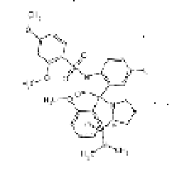 COc1ccc(S(=O)(=O)N2C(=O)C(c3ccccc3OC)(N3CCC[C@H]3C(=O)N(C)C)c3cc(Cl)ccc32)c(OC)c1